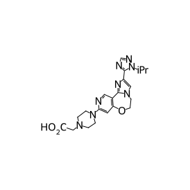 CC(C)n1ncnc1-c1cn2c(n1)-c1cnc(N3CCN(CC(=O)O)CC3)cc1OCC2